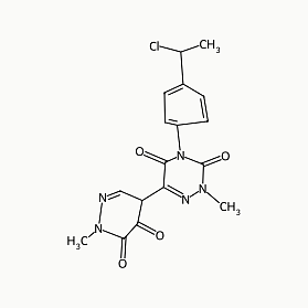 CC(Cl)c1ccc(-n2c(=O)c(C3C=NN(C)C(=O)C3=O)nn(C)c2=O)cc1